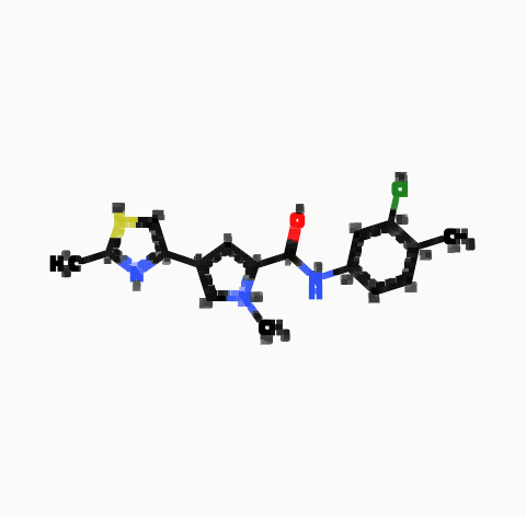 Cc1nc(-c2cc(C(=O)Nc3ccc(C)c(Cl)c3)n(C)c2)cs1